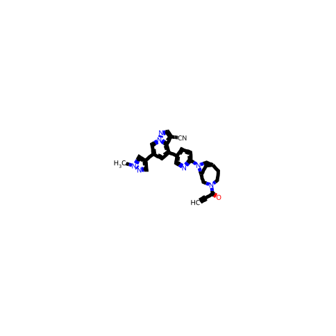 C#CC(=O)N1CCC2CC(C1)N(c1ccc(-c3cc(-c4cnn(C)c4)cn4ncc(C#N)c34)cn1)C2